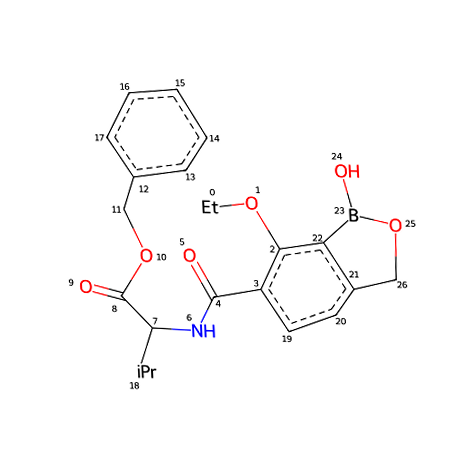 CCOc1c(C(=O)NC(C(=O)OCc2ccccc2)C(C)C)ccc2c1B(O)OC2